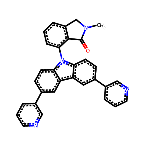 CN1Cc2cccc(-n3c4ccc(-c5cccnc5)cc4c4cc(-c5cccnc5)ccc43)c2C1=O